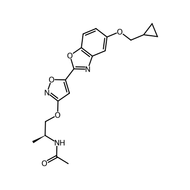 CC(=O)N[C@@H](C)COc1cc(-c2nc3cc(OCC4CC4)ccc3o2)on1